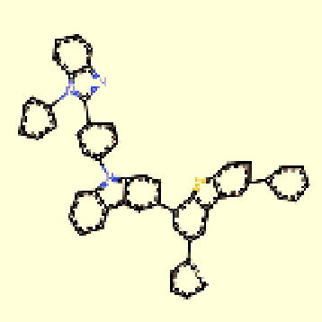 c1ccc(-c2ccc3sc4c(-c5ccc6c(c5)c5ccccc5n6-c5ccc(-c6nc7ccccc7n6-c6ccccc6)cc5)cc(-c5ccccc5)cc4c3c2)cc1